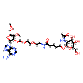 COC[C@H]1O[C@@H](n2cnc3c(N)ncnc32)[C@H](OCOCCOCCNC(=O)CCCCO[C@@H]2O[C@H](CO)[C@H](O)[C@H](O)[C@H]2NC(C)=O)[C@@H]1OC